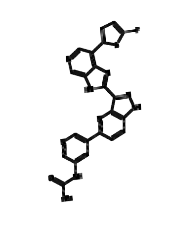 CCCCC(=O)Nc1cncc(-c2ccc3[nH]nc(-c4nc5c(-c6ccc(F)s6)cncc5[nH]4)c3n2)c1